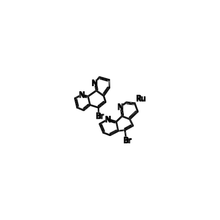 Brc1cc2cccnc2c2ncccc12.Brc1cc2cccnc2c2ncccc12.[Ru]